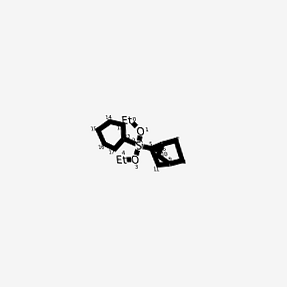 CCO[Si](OCC)(C1=C2CCC(C2)C1)C1CCCCC1